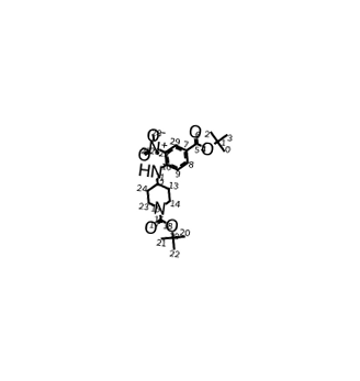 CC(C)(C)OC(=O)c1ccc(NC2CCN(C(=O)OC(C)(C)C)CC2)c([N+](=O)[O-])c1